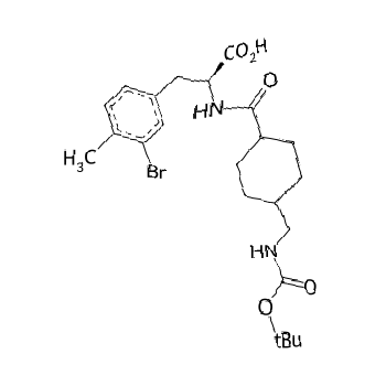 Cc1ccc(C[C@H](NC(=O)C2CCC(CNC(=O)OC(C)(C)C)CC2)C(=O)O)cc1Br